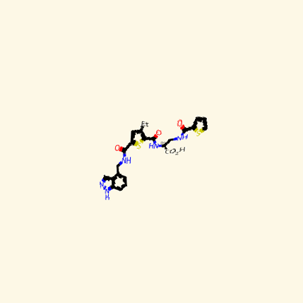 CCc1cc(C(=O)NCc2cccc3[nH]ncc23)sc1C(=O)N[C@@H](CNC(=O)c1cccs1)C(=O)O